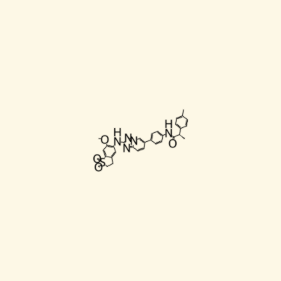 COc1cc2c(cc1Nc1nc3ccc(-c4ccc(NC(=O)[C@H](C)c5ccc(C)cc5)cc4)cn3n1)CCS2(=O)=O